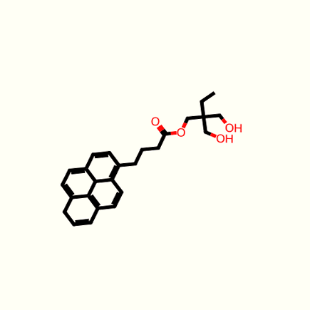 CCC(CO)(CO)COC(=O)CCCC1=C2C=CC3=C4C(=CC=C(C=C1)C24)CC=C3